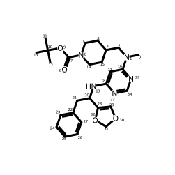 CN(CC1CCN(C(=O)OC(C)(C)C)CC1)c1cc(NC(Cc2ccccc2)C2=COCO2)ncn1